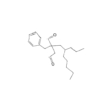 CCCCCC(CCC)CC([C]=O)(C[C]=O)Cc1ccccc1